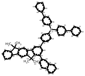 CC1(C)c2ccccc2-c2cc3c(cc21)-c1cc(-c2ccc(N(c4ccc(-c5ccccc5)cc4)c4ccc(-c5ccccc5)cc4)cc2)cc(-c2ccc4ccccc4c2)c1C3(C)C